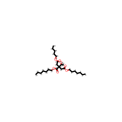 CCCCCCCOC(=O)CC(CC(=O)OCCCCC)(C(C)=O)C(=O)OCCCCCCC